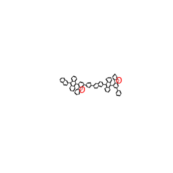 c1ccc(-c2cc(-c3c4ccccc4c(-c4ccc5cc(-c6ccc(-c7ccc(-c8c9ccccc9c(-c9ccc%10ccccc%10c9)c9ccccc89)c8c7oc7ccccc78)cc6)ccc5c4)c4ccccc34)c3c(c2)oc2ccccc23)cc1